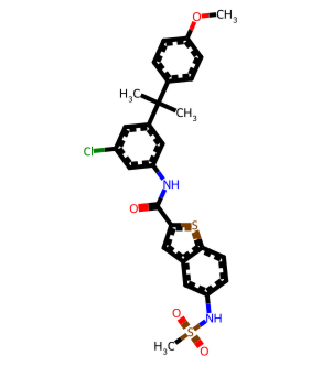 COc1ccc(C(C)(C)c2cc(Cl)cc(NC(=O)c3cc4cc(NS(C)(=O)=O)ccc4s3)c2)cc1